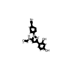 N#Cc1ccc(-n2nc(-c3ccc(O)cc3O)cc2NC=O)cc1